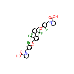 O=C(O)[C@@H]1CCCCN1Cc1ccc(OCc2cccc(-c3cccc(COc4ccc(CN5CCCC[C@H]5C(=O)O)cc4Br)c3C(F)(F)F)c2C(F)(F)F)c(Br)c1